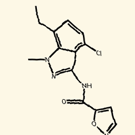 CCc1ccc(Cl)c2c(NC(=O)c3ccno3)nn(C)c12